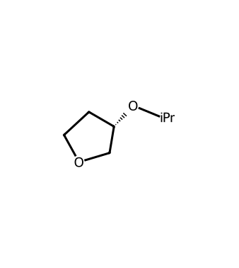 CC(C)O[C@H]1CCOC1